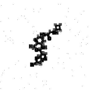 Cc1ncc(NC(=O)CNC2CCC2)cc1NC(=O)c1cnn2cc(Br)sc12